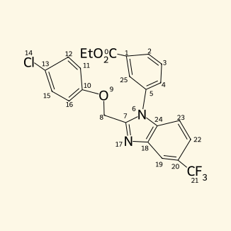 CCOC(=O)c1cccc(-n2c(COc3ccc(Cl)cc3)nc3cc(C(F)(F)F)ccc32)c1